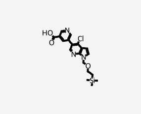 C[Si](C)(C)CCOCn1ccc2c(Cl)c(-c3cncc(C(=O)O)c3)cnc21